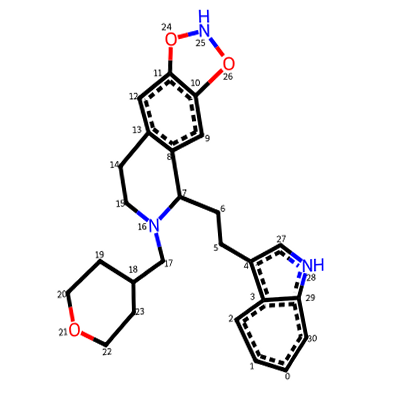 c1ccc2c(CCC3c4cc5c(cc4CCN3CC3CCOCC3)ONO5)c[nH]c2c1